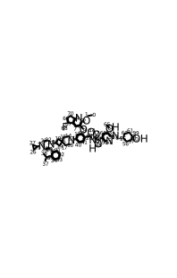 CCOc1nc2c(cc1Oc1cc(N3CCC4(CC3)CC(N3CCN(C5CC5)C[C@H]3c3ccccc3C(C)C)C4)ccc1C(=O)NS(=O)(=O)c1cnc(NC[C@H]3CC[C@](C)(O)CC3)c(OC)c1)C(F)=CC2